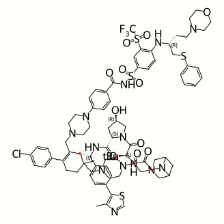 Cc1ncsc1-c1ccc([C@H](C)NC(=O)[C@@H]2C[C@@H](O)CN2C(=O)[C@@H](NC(=O)CN2C3CC2CN(CC(=O)N2CCN(CC4(C)CCC(c5ccc(Cl)cc5)=C(CN5CCN(c6ccc(C(=O)NS(=O)(=O)c7ccc(N[C@H](CCN8CCOCC8)CSc8ccccc8)c(S(=O)(=O)C(F)(F)F)c7)cc6)CC5)C4)CC2)C3)C(C)(C)C)cc1